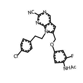 CC(=O)Nc1ccc(OCc2cc3cnc(C#N)nc3n2CCc2ccc(Cl)cc2)cc1F